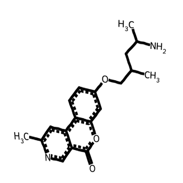 Cc1cc2c(cn1)c(=O)oc1cc(OCC(C)CC(C)N)ccc12